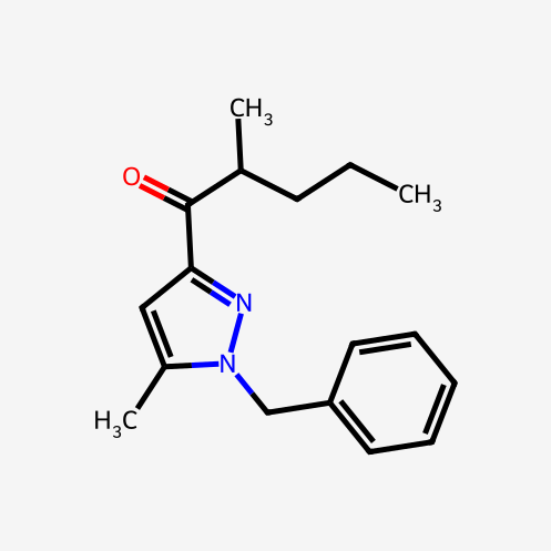 CCCC(C)C(=O)c1cc(C)n(Cc2ccccc2)n1